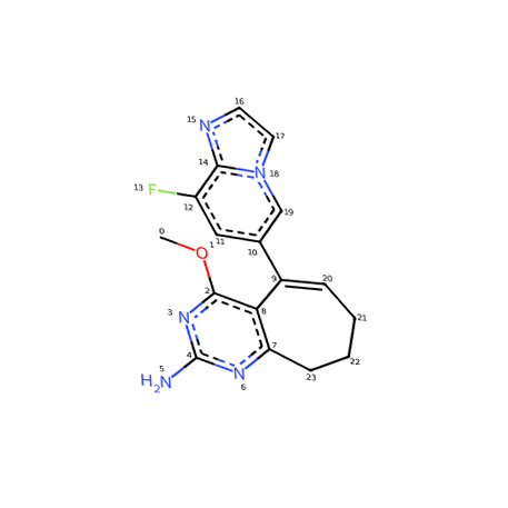 COc1nc(N)nc2c1C(c1cc(F)c3nccn3c1)=CCCC2